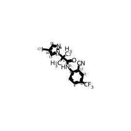 CC(C)(C(=O)Nc1ccc(C(F)(F)F)cc1C#N)n1cc(I)cn1